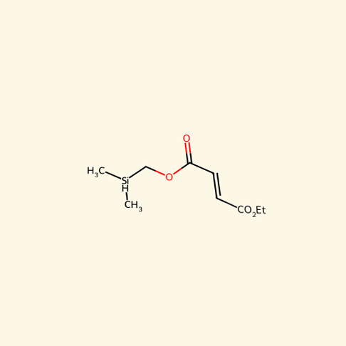 CCOC(=O)/C=C/C(=O)OC[SiH](C)C